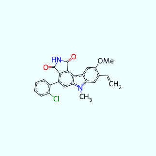 C=Cc1cc2c(cc1OC)c1c3c(c(-c4ccccc4Cl)cc1n2C)C(=O)NC3=O